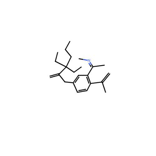 C=C(C)c1ccc(CC(=C)C(CC)(CC)CCC)cc1/C(C)=N\C